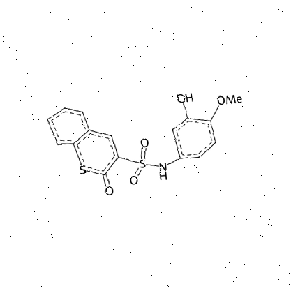 COc1ccc(NS(=O)(=O)c2cc3ccccc3sc2=O)cc1O